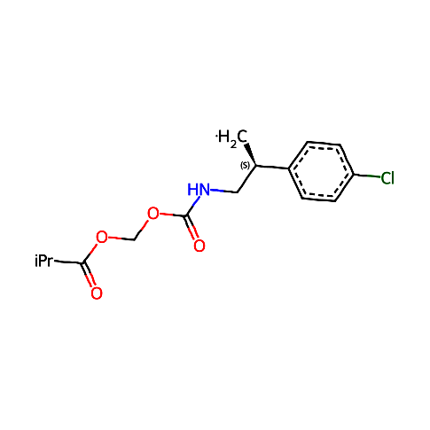 [CH2][C@H](CNC(=O)OCOC(=O)C(C)C)c1ccc(Cl)cc1